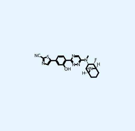 CN(c1cnc(-c2ccc(-c3cnc(C#N)s3)cc2O)nn1)[C@H]1C[C@@H]2CCC[C@@H](N2)[C@H]1F